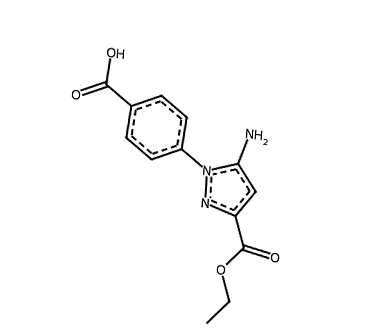 CCOC(=O)c1cc(N)n(-c2ccc(C(=O)O)cc2)n1